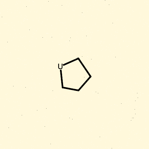 C1C[CH2][U][CH2]1